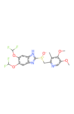 COc1cnc(C[S+]([O-])c2nc3cc(OC(F)F)c(OC(F)F)cc3[nH]2)c(C)c1OC